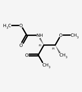 COC(=O)N[C@@H](C(C)=O)[C@@H](C)OC